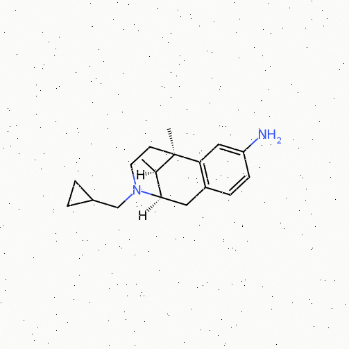 C[C@@H]1[C@H]2Cc3ccc(N)cc3[C@]1(C)CCN2CC1CC1